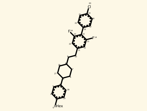 CCCCCCc1ccc(C2CCC(CCc3cc(F)c(-c4ccc(Cl)cc4)c(F)c3)CC2)cc1